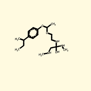 CCC(C)c1ccc(OC(C)OCCNC(O)(CNC)NC)cc1